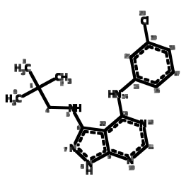 CC(C)(C)CNc1n[nH]c2ncnc(Nc3cccc(Cl)c3)c12